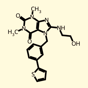 Cn1c(=O)c2c(nc(NCCO)n2Cc2cccc(-c3cccs3)c2)n(C)c1=O